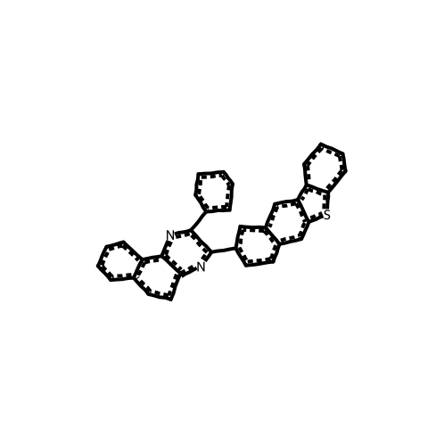 c1ccc(-c2nc3c(ccc4ccccc43)nc2-c2ccc3cc4sc5ccccc5c4cc3c2)cc1